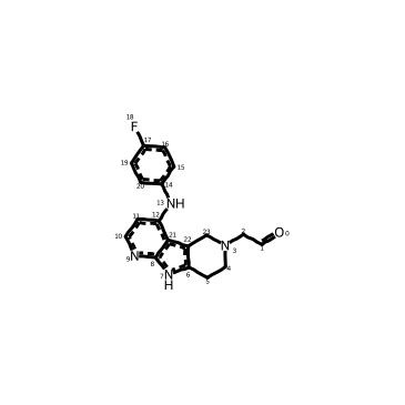 O=CCN1CCc2[nH]c3nccc(Nc4ccc(F)cc4)c3c2C1